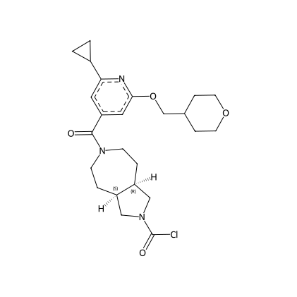 O=C(Cl)N1C[C@H]2CCN(C(=O)c3cc(OCC4CCOCC4)nc(C4CC4)c3)CC[C@H]2C1